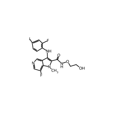 Cn1c(C(=O)NOCCO)c(Nc2ccc(I)cc2F)c2cncc(F)c21